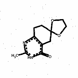 Cc1nc2c(c(=O)[nH]1)CC1(CC2)OCCO1